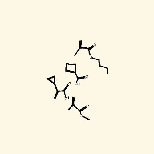 C=C(C(=O)O)C1CC1.C=C(C)C(=O)OC.C=C(C)C(=O)OCCCC.O=C(O)C1=CCC1